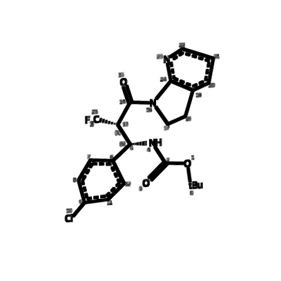 CC(C)(C)OC(=O)N[C@H](c1ccc(Cl)cc1)[C@@H](C(=O)N1CCc2cccnc21)C(F)(F)F